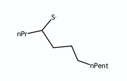 CCCCCCCCC([S])CCC